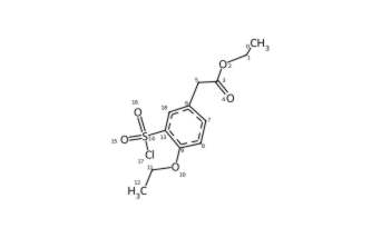 CCOC(=O)Cc1ccc(OCC)c(S(=O)(=O)Cl)c1